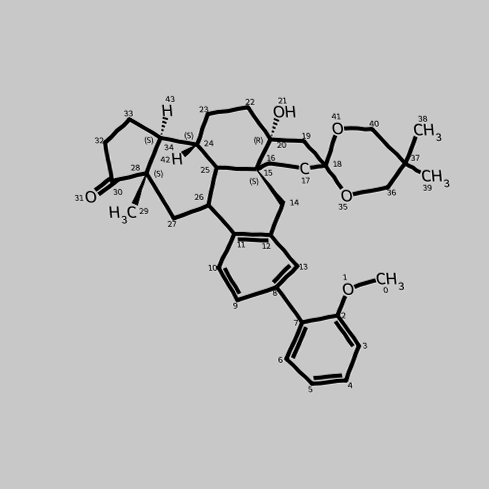 COc1ccccc1-c1ccc2c(c1)C[C@]13CCC4(C[C@]1(O)CC[C@@H]1C3C2C[C@]2(C)C(=O)CC[C@@H]12)OCC(C)(C)CO4